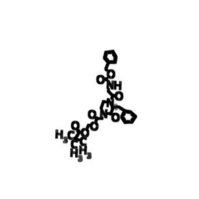 CC(C)(C)C(=O)OCOC(=O)CN1CCN(C(=O)CNC(=O)OCc2ccccc2)[C@@H](Cc2ccccc2)C1=O